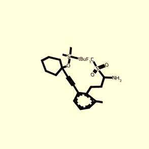 Cc1cccc(C#CC2(O[Si](C)(C)C(C)(C)C)CCCCC2)c1CCC(N)S(=O)(=O)C(F)(F)F